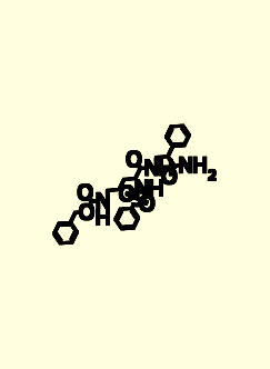 NC(=O)C(CNC(=O)C(CCCNC(=O)OCc1ccccc1)NS(=O)(=O)c1ccccc1)c1ccccc1